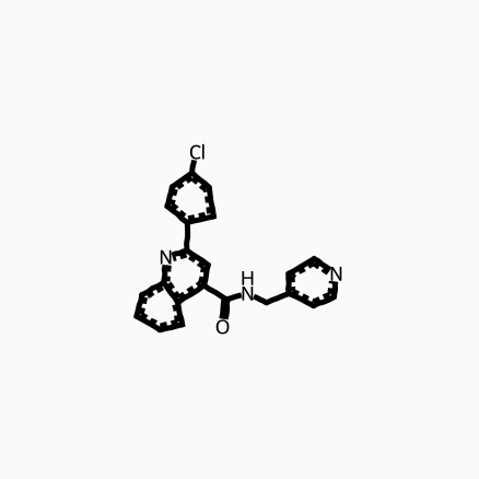 O=C(NCc1ccncc1)c1cc(-c2ccc(Cl)cc2)nc2ccccc12